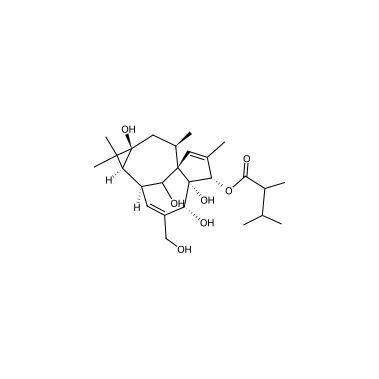 CC1=C[C@]23C(O)[C@@H](C=C(CO)[C@@H](O)[C@]2(O)[C@H]1OC(=O)C(C)C(C)C)[C@H]1C(C)(C)[C@]1(O)C[C@H]3C